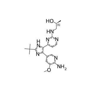 COc1cc(-c2nc(C(C)(C)C)[nH]c2-c2ccnc(NC[C@H](C)O)n2)cnc1N